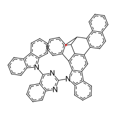 CC1c2c3cc4c5ccccc5n(-c5nc(-n6c7ccccc7c7ccccc76)c6ccccc6n5)c4c2-c2ccccc2C1c1c-3ccc2ccccc12